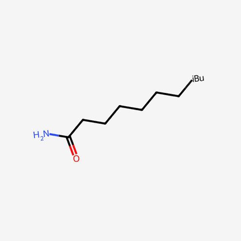 CCC(C)CCCCCCC(N)=O